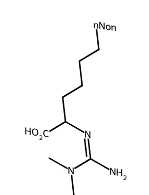 CCCCCCCCCCCCCC(N=C(N)N(C)C)C(=O)O